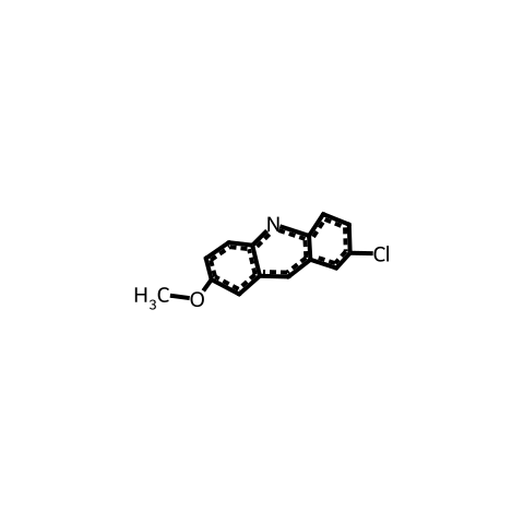 COc1ccc2nc3ccc(Cl)cc3cc2c1